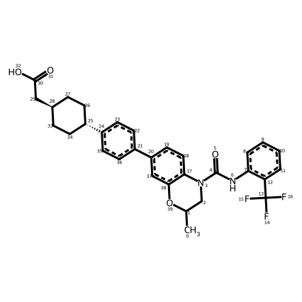 CC1CN(C(=O)Nc2ccccc2C(F)(F)F)c2ccc(-c3ccc([C@H]4CC[C@H](CC(=O)O)CC4)cc3)cc2O1